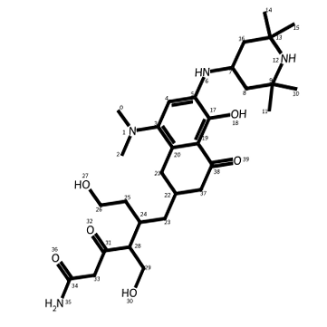 CN(C)c1cc(NC2CC(C)(C)NC(C)(C)C2)c(O)c2c1CC(CC(CCO)C(CO)C(=O)CC(N)=O)CC2=O